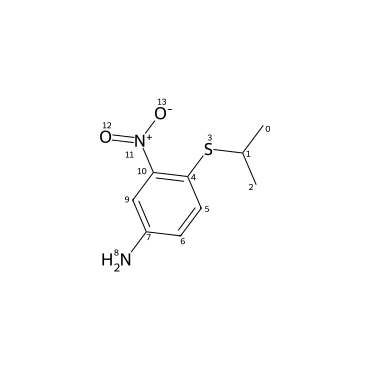 CC(C)Sc1ccc(N)cc1[N+](=O)[O-]